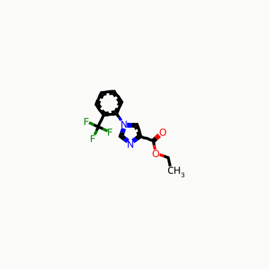 CCOC(=O)c1cn(-c2ccccc2C(F)(F)F)cn1